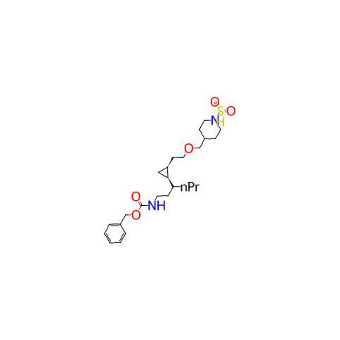 CCCC(CCNC(=O)OCc1ccccc1)[C@H]1C[C@H]1CCOCC1CCN([SH](=O)=O)CC1